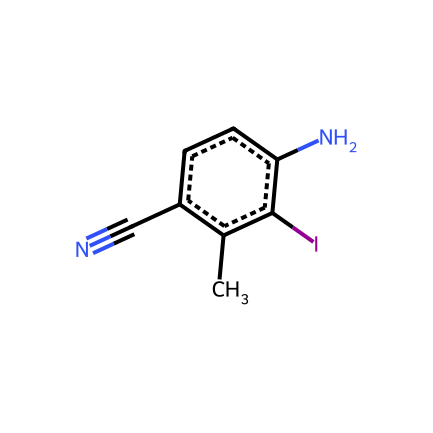 Cc1c(C#N)ccc(N)c1I